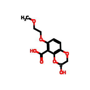 COCCOc1ccc2c(c1C(=O)O)OB(O)CO2